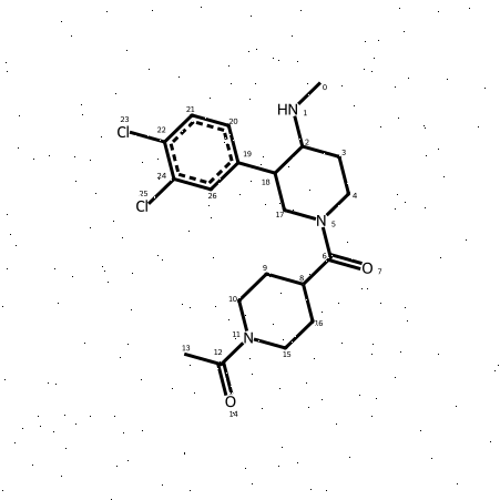 CNC1CCN(C(=O)C2CCN(C(C)=O)CC2)CC1c1ccc(Cl)c(Cl)c1